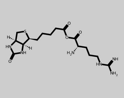 N=C(N)NCCC[C@H](N)C(=O)OC(=O)CCCC[C@@H]1SC[C@@H]2NC(=O)N[C@@H]21